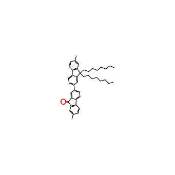 CCCCCCCCC1(CCCCCCCC)c2cc(C)ccc2-c2ccc(-c3ccc4c(c3)C(=O)c3cc(C)ccc3-4)cc21